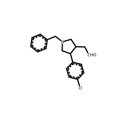 O=CCC1CN(Cc2ccccc2)CC1c1ccc(Cl)cc1